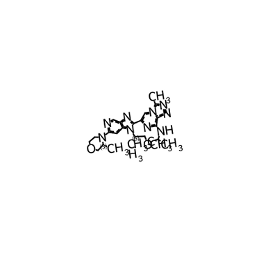 COC[C@H](C)n1c(-c2cn3c(C)nnc3c(NC(C)C)n2)nc2cnc(N3CCOC[C@@H]3C)cc21